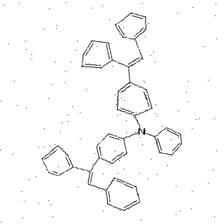 C(=C(c1ccccc1)c1ccc(N(c2ccccc2)c2ccc(C(=Cc3ccccc3)c3ccccc3)cc2)cc1)c1ccccc1